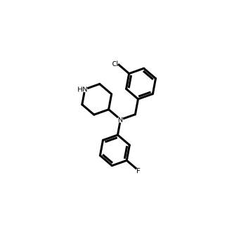 Fc1cccc(N(Cc2cccc(Cl)c2)C2CCNCC2)c1